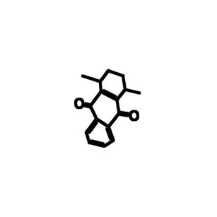 CC1CCC(C)C2=C1C(=O)c1ccccc1C2=O